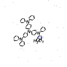 C/C=C\C(=C/C)N(c1ccccc1)c1ccc(N(c2ccc(N(c3ccccc3)c3ccccc3)cc2)c2ccc(N(c3ccccc3)c3ccccc3)cc2)cc1